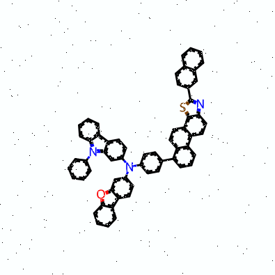 c1ccc(-n2c3ccccc3c3ccc(N(c4ccc(-c5cccc6c5ccc5c6ccc6nc(-c7ccc8ccccc8c7)sc65)cc4)c4ccc5c(c4)oc4ccccc45)cc32)cc1